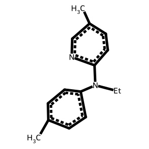 CCN(c1ccc(C)cc1)c1ccc(C)cn1